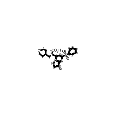 O=C(O)N(CC1CCOCC1)c1cc(S(=O)(=O)c2ccccc2)nc2c(Br)cnn12